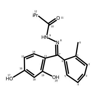 Cc1ccccc1C(=NNC(=O)C(C)C)c1ccc(O)cc1O